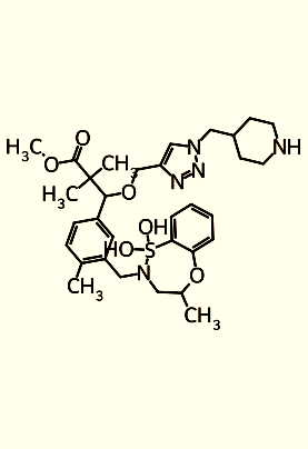 COC(=O)C(C)(C)C(OCc1cn(CC2CCNCC2)nn1)c1ccc(C)c(CN2CC(C)Oc3ccccc3S2(O)O)c1